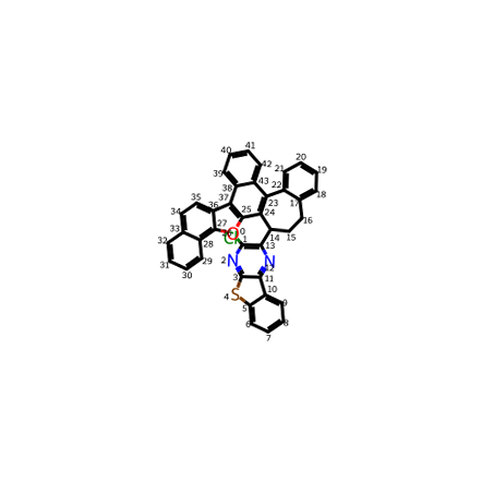 Clc1nc2sc3ccccc3c2nc1C1CCc2ccccc2-c2c1c1oc3c4ccccc4ccc3c1c1ccccc21